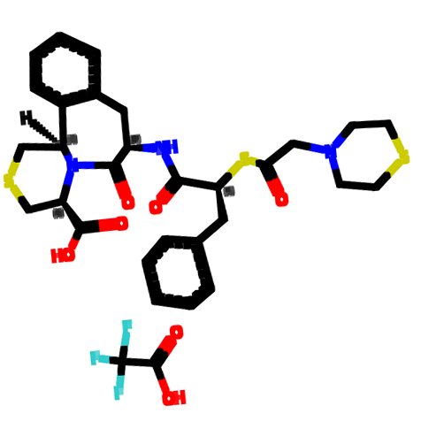 O=C(CN1CCSCC1)S[C@@H](Cc1ccccc1)C(=O)N[C@@H]1Cc2ccccc2[C@@H]2CSC[C@H](C(=O)O)N2C1=O.O=C(O)C(F)(F)F